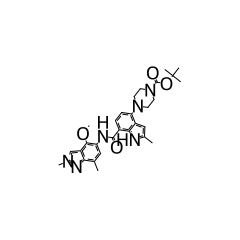 COc1c(NC(=O)c2ccc(N3CCN(C(=O)OC(C)(C)C)CC3)c3cc(C)[nH]c23)cc(C)c2nn(C)cc12